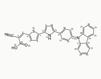 N#C/C(=C/c1ccc(-c2ccc(-c3ccc(-n4c5ccccc5c5ccccc54)cc3)[nH]2)s1)C(=O)O